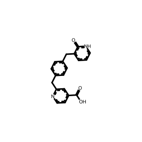 O=C(O)c1ccnc(Cc2ccc(Cc3ccc[nH]c3=O)cc2)c1